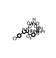 CCCS(=O)(=O)Nc1ccc(F)c(C(=O)c2cn(COC(=O)C(C)(C)NC(=O)OC(C)(C)C)c3ncc(-c4ccc(Cl)cc4)cc23)c1F